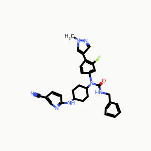 Cn1cc(-c2ccc(N(C(=O)NCc3ccccc3)C3CCC(Nc4ccc(C#N)cn4)CC3)cc2F)cn1